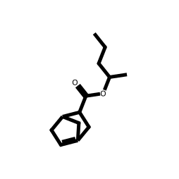 CCCC(C)OC(=O)C1CC2=CCC1C2